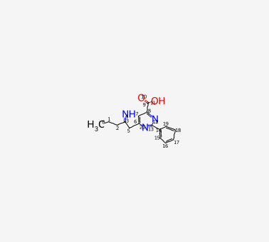 CCCC(=N)Cc1cc(C(=O)O)nc(-c2ccccc2)n1